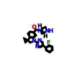 O=C(c1ccc2c(c1)N(c1ncc(-c3ccccc3F)cn1)CC21CC1)N1C[C@@H]2C[C@H]1CN2